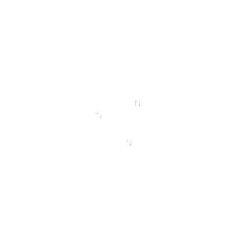 C1=CCC(c2nc(-c3cccc4ccccc34)nc(-c3c(-c4ccccc4)ccc4oc5ccccc5c34)n2)C=C1